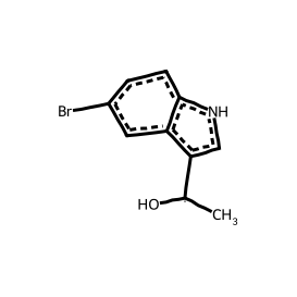 C[C](O)c1c[nH]c2ccc(Br)cc12